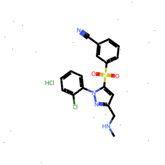 CNCc1cc(S(=O)(=O)c2cccc(C#N)c2)n(-c2ccccc2Cl)n1.Cl